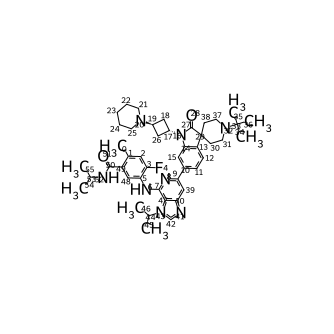 Cc1cc(F)c(Nc2nc(-c3ccc4c(c3)N([C@H]3C[C@H](N5CCCCC5)C3)C(=O)C43CCN(C(C)(C)C)CC3)cc3ncn(C(C)C)c23)cc1C(=O)NC(C)C